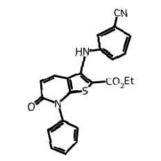 CCOC(=O)c1sc2c(ccc(=O)n2-c2ccccc2)c1Nc1cccc(C#N)c1